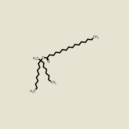 CCCCCCCCCCCCCCCC(=O)OC(C)(CCCCCCC)CCCCCCCCC